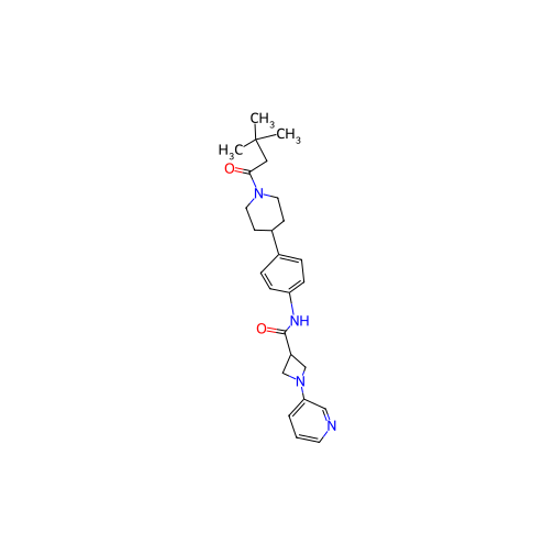 CC(C)(C)CC(=O)N1CCC(c2ccc(NC(=O)C3CN(c4cccnc4)C3)cc2)CC1